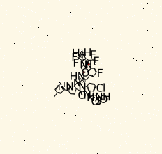 Cc1ccnc(-c2ccc3c(=O)n(-c4ccc(Cl)c5c(NS(C)(=O)=O)nn(C)c45)c([C@H](Cc4cc(F)cc(F)c4)NC(=O)Cn4nc(C(F)F)c5c4C(F)(F)[C@@H]4C[C@H]54)nc3n2)c1